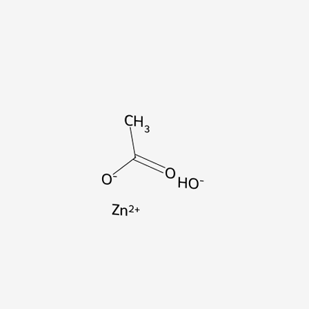 CC(=O)[O-].[OH-].[Zn+2]